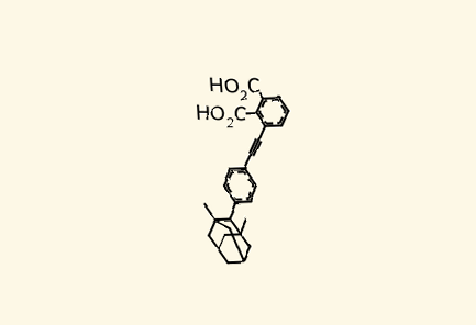 CC12CC3CC(C1)CC(C)(C3)C2c1ccc(C#Cc2cccc(C(=O)O)c2C(=O)O)cc1